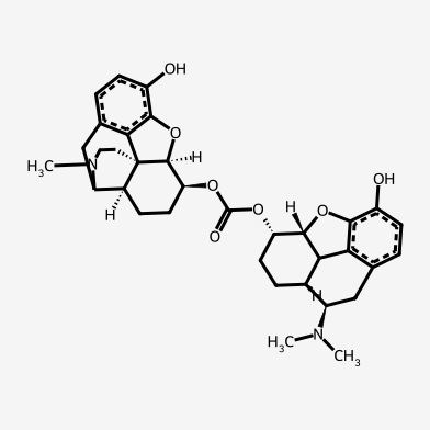 CN1CC[C@]23c4c5ccc(O)c4O[C@H]2[C@@H](OC(=O)O[C@H]2CC[C@@H]4C6c7c(ccc(O)c7O[C@H]62)C[C@H]4N(C)C)CC[C@H]3C1C5